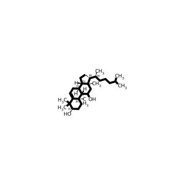 CC(C)CCC[C@@H](C)[C@H]1CC[C@H]2[C@@H]3CC=C4C(C)(C)[C@@H](O)CC[C@]4(C)[C@H]3C(O)C[C@]12C